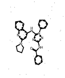 O=C(Nc1nc(Nc2cc(N3CCCC3)nc3ccccc23)n(-c2ccccc2)n1)c1ccccc1